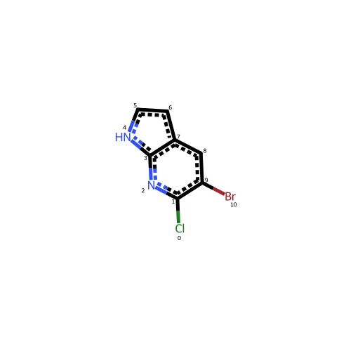 Clc1nc2[nH]ccc2cc1Br